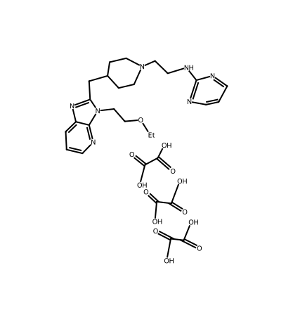 CCOCCn1c(CC2CCN(CCNc3ncccn3)CC2)nc2cccnc21.O=C(O)C(=O)O.O=C(O)C(=O)O.O=C(O)C(=O)O